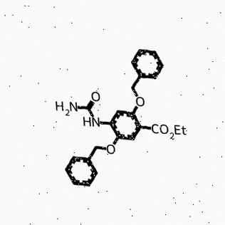 CCOC(=O)c1cc(OCc2ccccc2)c(NC(N)=O)cc1OCc1ccccc1